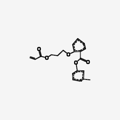 C=CC(=O)OCCCOc1ccccc1C(=O)Oc1cc[c]c(C)c1